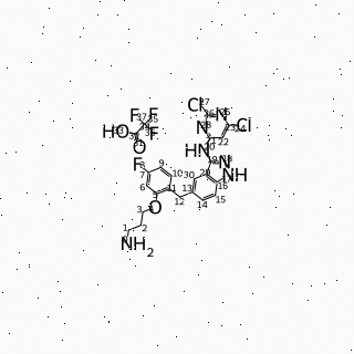 NCCCOc1cc(F)ccc1Cc1ccc2[nH]nc(Nc3cc(Cl)nc(Cl)n3)c2c1.O=C(O)C(F)(F)F